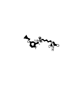 C[C@@H](NS(=O)(=O)CCCCCN1CC(=O)NC1=O)c1cc(OCC2CC2)ccc1F